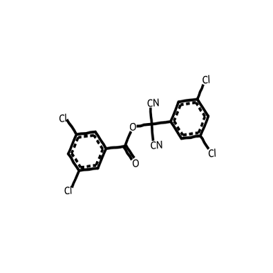 N#CC(C#N)(OC(=O)c1cc(Cl)cc(Cl)c1)c1cc(Cl)cc(Cl)c1